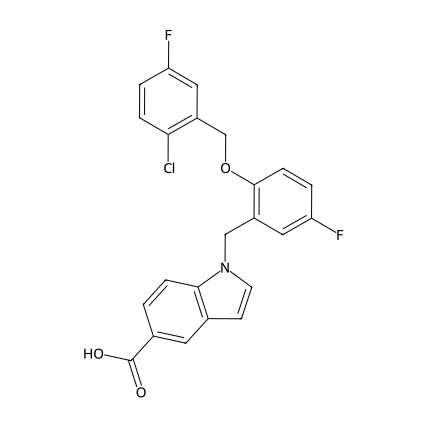 O=C(O)c1ccc2c(ccn2Cc2cc(F)ccc2OCc2cc(F)ccc2Cl)c1